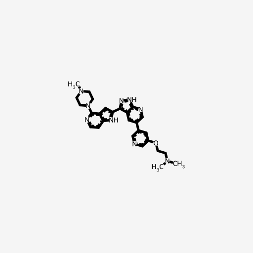 CN(C)CCOc1cncc(-c2cnc3[nH]nc(-c4cc5c(N6CCN(C)CC6)nccc5[nH]4)c3c2)c1